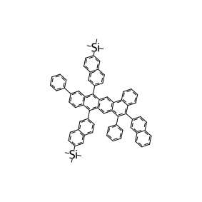 C[Si](C)(C)c1ccc2cc(-c3c4ccc(-c5ccccc5)cc4c(-c4ccc5cc([Si](C)(C)C)ccc5c4)c4cc5c(cc34)c(-c3ccccc3)c(-c3ccc4ccccc4c3)c3ccccc35)ccc2c1